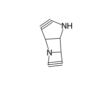 C1#CC2C(N1)C1C#CN21